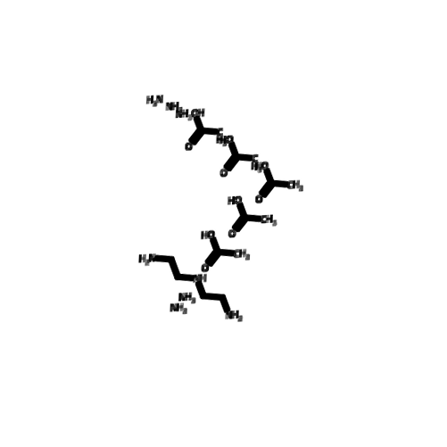 CC(=O)O.CC(=O)O.CC(=O)O.CC(=O)O.CC(=O)O.N.N.N.N.N.NCCNCCN